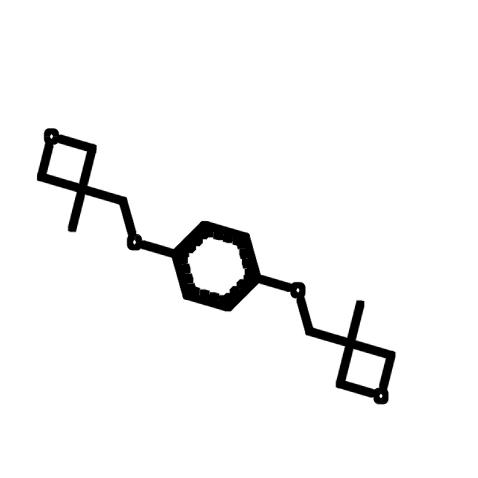 CC1(COc2ccc(OCC3(C)COC3)cc2)COC1